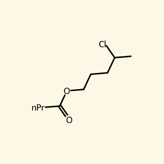 CCCC(=O)OCCCC(C)Cl